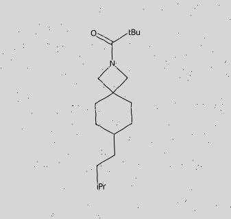 CC(C)CCC1CCC2(CC1)CN(C(=O)C(C)(C)C)C2